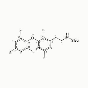 CCCCNCCc1cc(C)nc(Oc2c(C)cc(C)cc2C)c1C